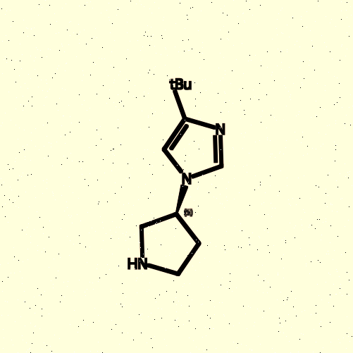 CC(C)(C)c1cn([C@H]2CCNC2)cn1